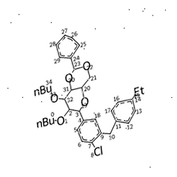 CCCCOC1C(c2ccc(Cl)c(Cc3ccc(CC)cc3)c2)OC2COC(c3ccccc3)OC2C1OCCCC